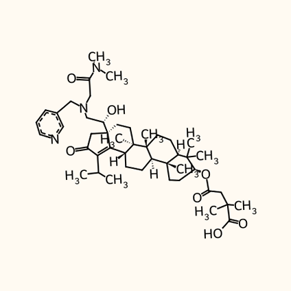 CC(C)C1=C2[C@H]3CC[C@@H]4[C@@]5(C)CC[C@H](OC(=O)CC(C)(C)C(=O)O)C(C)(C)[C@@H]5CC[C@@]4(C)[C@]3(C)CC[C@@]2([C@@H](O)CN(CC(=O)N(C)C)Cc2cccnc2)CC1=O